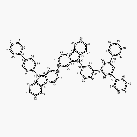 c1ccc(-c2ccc(-n3c4ccccc4c4ccc(-c5ccc6c7ccccc7n(-c7cccc(-c8cc(-c9ccccc9)cc(-c9ccccc9)n8)c7)c6c5)cc43)cc2)cc1